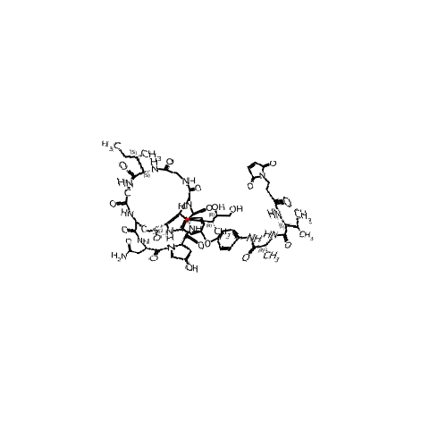 CC[C@H](C)[C@@H]1NC(=O)CNC(=O)C2Cc3c([nH]c4cc(Oc5ccc(NC(=O)[C@@H](C)NC(=O)[C@@H](NC(=O)CCN6C(=O)C=CC6=O)C(C)C)cc5)ccc34)[S@+]([O-])CC(NC(=O)CNC1=O)C(=O)NC(CC(N)=O)C(=O)N1CC(O)CC1C(=O)N[C@@H]([C@@H](C)[C@@H](O)CO)C(=O)N2